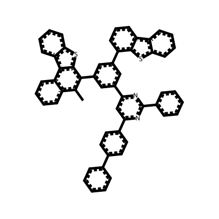 Cc1c(-c2cc(-c3cc(-c4ccc(-c5ccccc5)cc4)nc(-c4ccccc4)n3)cc(-c3cccc4c3sc3ccccc34)c2)c2sc3ccccc3c2c2ccccc12